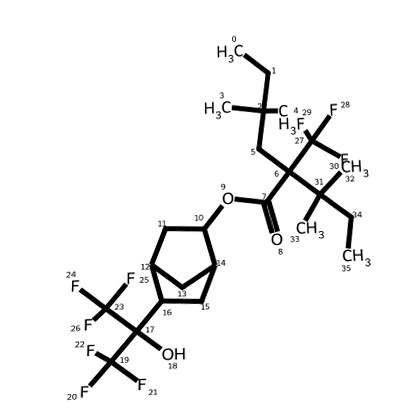 CCC(C)(C)CC(C(=O)OC1CC2CC1CC2C(O)(C(F)(F)F)C(F)(F)F)(C(F)(F)F)C(C)(C)CC